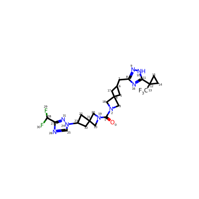 O=C(N1CC2(CC(Cc3n[nH]c(C4(C(F)(F)F)CC4)n3)C2)C1)N1CC2(CC(n3cnc(C(F)F)n3)C2)C1